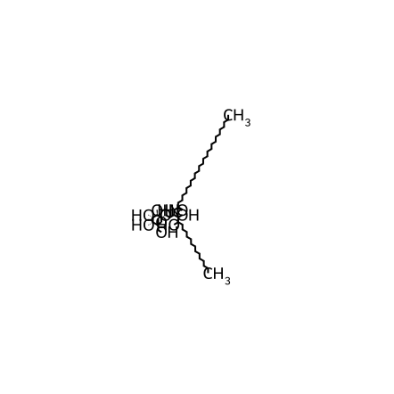 CCCCCCCCCCCCCCCCCCCCCCCCCC(=O)NC(CO[C@@H]1O[C@H](CO)[C@H](O)[C@H](O)[C@H]1O)C(O)C(O)CCCCCCCCCCCCCC